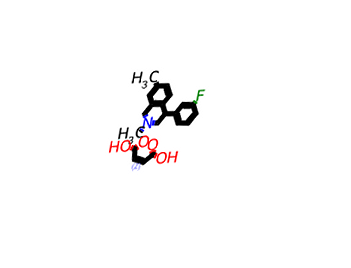 Cc1ccc2c(c1)CN(C)CC2c1cccc(F)c1.O=C(O)/C=C\C(=O)O